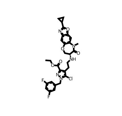 CCOC(=O)c1nn(Cc2cc(F)cc(F)c2)c(Cl)c1CCN[C@H]1COc2cc3nc(C4CC4)oc3cc2N(C)C1=O